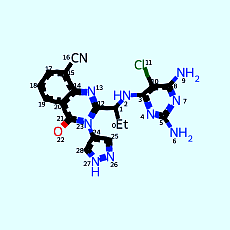 CCC(Nc1nc(N)nc(N)c1Cl)c1nc2c(C#N)cccc2c(=O)n1-c1cn[nH]c1